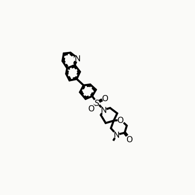 CN1CC2(CCN(S(=O)(=O)c3ccc(-c4ccc5cccnc5c4)cc3)CC2)OCC1=O